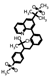 CC(C)(O)C(Cc1cccc(-c2cc(C(C)(C)S(C)(=O)=O)cc3cccnc23)c1)c1ccc(S(C)(=O)=O)cc1